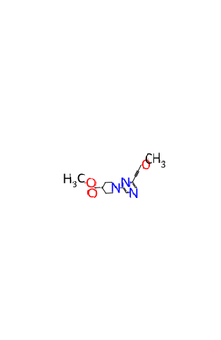 CCOC(=O)C1CCN(c2cncc(C#CCOC)n2)CC1